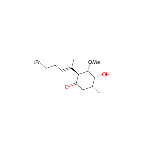 CO[C@@H]1[C@H](O)[C@H](C)CC(=O)[C@H]1/C(C)=C/CCC(C)C